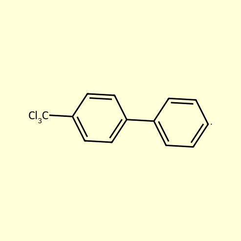 ClC(Cl)(Cl)c1ccc(-c2cc[c]cc2)cc1